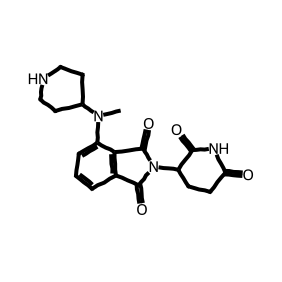 CN(c1cccc2c1C(=O)N(C1CCC(=O)NC1=O)C2=O)C1CCNCC1